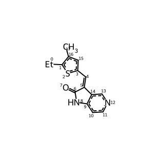 CCc1sc(C=C2C(=O)Nc3ccncc32)cc1C